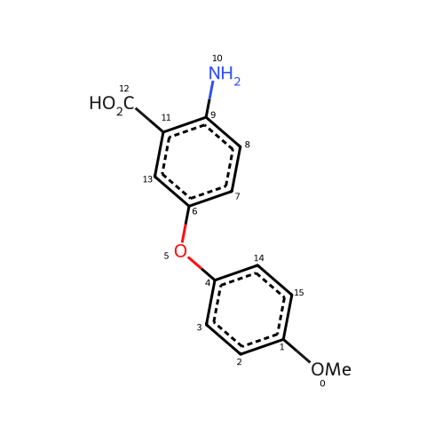 COc1ccc(Oc2ccc(N)c(C(=O)O)c2)cc1